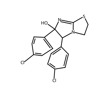 OC1(c2ccc(Cl)cc2)N=C2SCCN2C1c1ccc(Cl)cc1